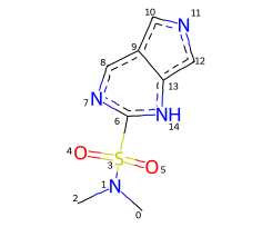 CN(C)S(=O)(=O)c1ncc2cncc-2[nH]1